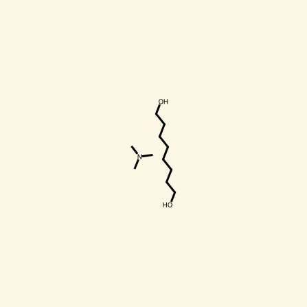 CN(C)C.OCCCCCCCCO